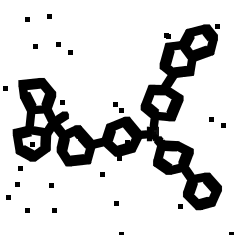 CC1(c2cccc(-c3ccc(N(c4ccc(-c5ccccc5)cc4)c4ccc(-c5ccc6ccccc6c5)cc4)cc3)c2)c2ccccc2-c2ccccc21